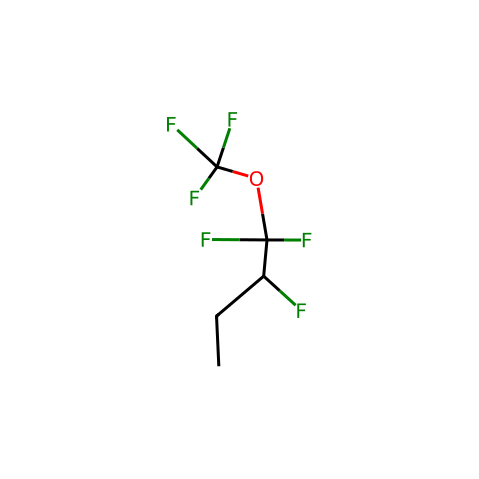 CCC(F)C(F)(F)OC(F)(F)F